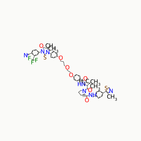 Cc1ncsc1-c1ccc(CNC(=O)[C@@H]2CCCN2C(=O)C(NC(=O)c2ccc(OCCOCCCOc3ccc(N4C(=S)N(c5ccc(C#N)c(C(F)(F)F)c5)C(=O)C4(C)C)cc3)cc2)C(C)(C)C)cc1